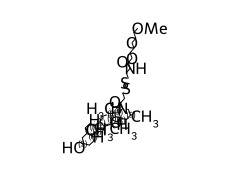 COCCOCCOC(=O)NCCSSCCC(=O)N1C[C@@H](C)C[C@H]2O[C@]3(CC[C@@H]4C(=C3C)C[C@H]3[C@H]4CC=C4C[C@@H](O)CC[C@@]43C)[C@H](C)[C@@H]21